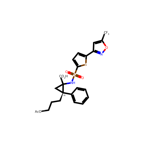 CC(=O)OCCC[C@@]1(c2ccccc2)CC1(NS(=O)(=O)c1ccc(-c2cc(C(F)(F)F)on2)s1)C(=O)O